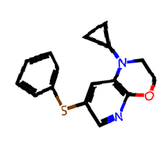 c1ccc(Sc2cnc3c(c2)N(C2CC2)CCO3)cc1